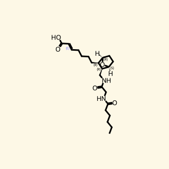 CCCCCC(=O)NCC(=O)NC[C@H]1[C@@H](CCCC/C=C/C(=O)O)[C@H]2CC[C@@H]1O2